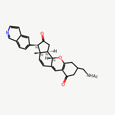 CC(=O)NCC1CC(=O)C2=C(C1)O[C@@H]1C(=C2)C=C[C@]2(C)[C@@H](c3ccc4cnccc4c3)C(=O)C[C@@H]12